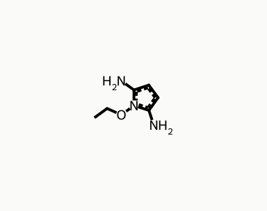 CCOn1c(N)ccc1N